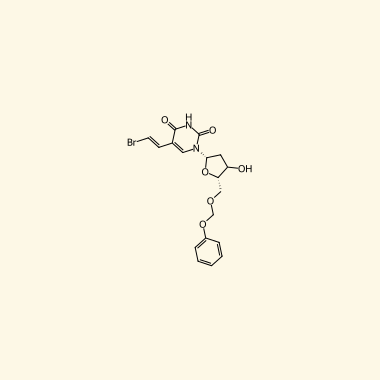 O=c1[nH]c(=O)n([C@@H]2CC(O)[C@H](COCOc3ccccc3)O2)cc1C=CBr